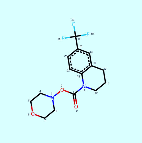 O=C(ON1CCOCC1)N1CCCc2cc(C(F)(F)F)ccc21